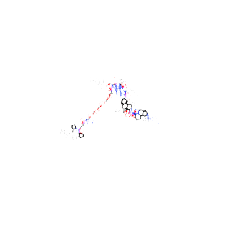 C=Cc1ccccc1N(Cc1ccccc1CC)C(=O)CCC(=O)NCCOCCOCCOCCOCCC(=O)N[C@@H](CCC(=O)O)C(=O)N[C@H](C(=O)N[C@@H](C)C(=O)Nc1ccc2c(c1)[C@@]1(C)CCC[C@](C)(C(=O)NC(=O)[C@@]3(C)CCC[C@]4(C)c5cc(N)ccc5CC[C@@H]34)[C@@H]1CC2)C(C)C